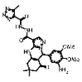 Bc1cc(C2C3=C(CC(C)(C)CC3=O)Nc3c(C(=O)NNC(=O)c4snnc4C)cnn32)cc(OC)c1OC